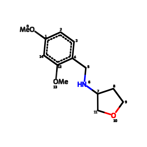 COc1ccc(CNC2CCOC2)c(OC)c1